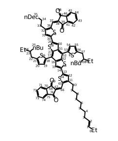 CC/C=C/CCCCCCCCc1cc(-c2cc3c(-c4ccc(CC(CC)CCCC)s4)c4sc(-c5cc(CCCCCCCCCCCC)c(C=C6C(=O)c7ccccc7C6=O)s5)cc4c(-c4ccc(CC(CC)CCCC)s4)c3s2)sc1C=C1C(=O)c2ccccc2C1=O